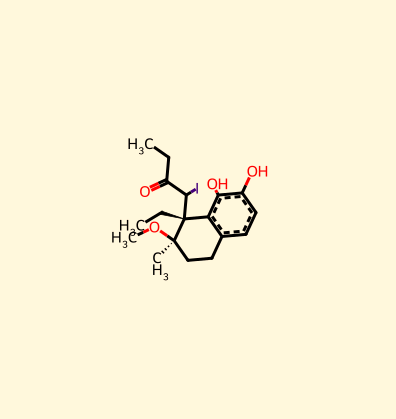 CCC(=O)C(I)[C@]1(CC)c2c(ccc(O)c2O)CC[C@@]1(C)OC